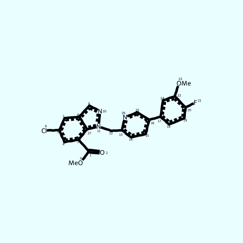 COC(=O)c1cc(Cl)cc2cnn(Cc3ccc(-c4ccc(F)c(OC)c4)cn3)c12